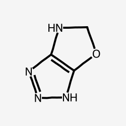 C1Nc2nn[nH]c2O1